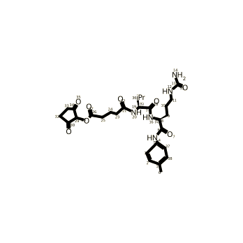 Cc1ccc(NC(=O)[C@H](CCCNC(N)=O)NC(=O)[C@@H](NC(=O)CCCC(=O)OC2C(=O)CCC2=O)C(C)C)cc1